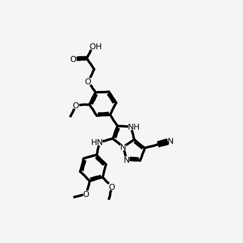 COc1ccc(Nc2c(-c3ccc(OCC(=O)O)c(OC)c3)[nH]c3c(C#N)cnn23)cc1OC